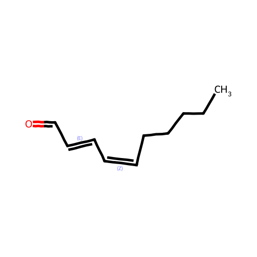 CCCCC/C=C\C=C\C=O